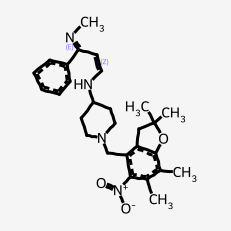 C/N=C(\C=C/NC1CCN(Cc2c3c(c(C)c(C)c2[N+](=O)[O-])OC(C)(C)C3)CC1)c1ccccc1